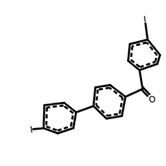 O=C(c1ccc(I)cc1)c1ccc(-c2ccc(I)cc2)cc1